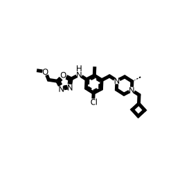 COCc1nnc(Nc2cc(Cl)cc(CN3CCN(CC4CCC4)[C@@H](C)C3)c2C)o1